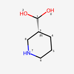 OC(O)[C@@H]1CCCNC1